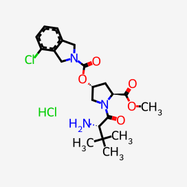 COC(=O)[C@@H]1C[C@@H](OC(=O)N2Cc3cccc(Cl)c3C2)CN1C(=O)[C@@H](N)C(C)(C)C.Cl